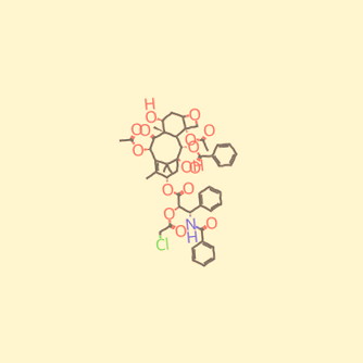 CC(=O)O[C@H]1C(=O)[C@@]2(C)C([C@H](OC(=O)c3ccccc3)[C@]3(O)C[C@H](OC(=O)[C@H](OC(=O)CCl)[C@@H](NC(=O)c4ccccc4)c4ccccc4)C(C)=C1C3(C)C)[C@]1(OC(C)=O)COC1C[C@@H]2O